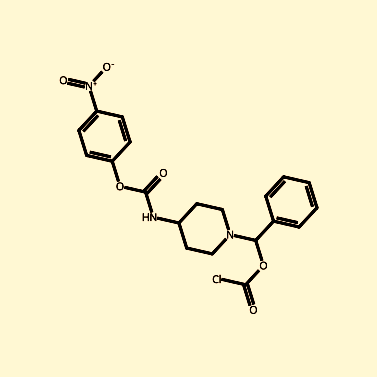 O=C(Cl)OC(c1ccccc1)N1CCC(NC(=O)Oc2ccc([N+](=O)[O-])cc2)CC1